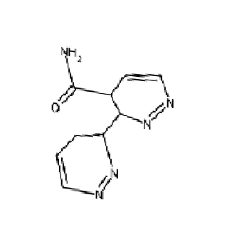 NC(=O)C1C=CN=NC1C1CC=CN=N1